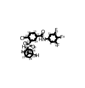 O=C(Nc1cc(F)c(F)c(F)c1)c1ccc(Cl)c(S(=O)(=O)[C@@H]2CC3C[C@@H](C2)[C@@H]3O)c1